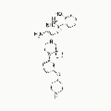 NC(N)=C(/C=C(\N)c1ccccc1O)N1CCN(c2cccc(OC3CCNCC3)c2)C2(CCC2)C1